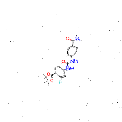 CN(C)C(=O)c1ccc(NC(=O)Nc2ccc(B3OC(C)(C)C(C)(C)O3)c(F)c2)cc1